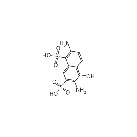 Nc1ccc2c(O)c(N)c(S(=O)(=O)O)cc2c1S(=O)(=O)O